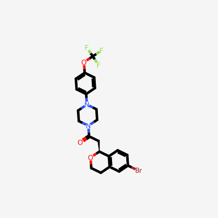 O=C(C[C@@H]1OCCc2cc(Br)ccc21)N1CCN(c2ccc(OC(F)(F)F)cc2)CC1